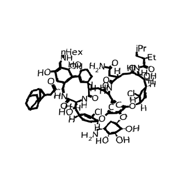 CCCCCCNCC1=C(O)CC2C(C3=C[C@H](CC[C@H]3O)[C@H]3CC(=O)[C@@H]4NC(=O)[C@H](CC(N)=O)CC(=O)[C@H](NC(=O)[C@H](CC)CC(C)C)[C@H](O)[C@H]5C=C[C@@H](Oc6cc4cc(c6O[C@@H]4C[C@H](CN)[C@@H](O)[C@H](O)[C@H]4O)O[C@@H]4CC[C@@H](C=C4Cl)[C@@H](O)[C@H](NC3=O)C(=O)N[C@@H]2C(=O)CC2C3CC4CC(C3)CC2C4)[C@H](Cl)C5)[C@H]1O